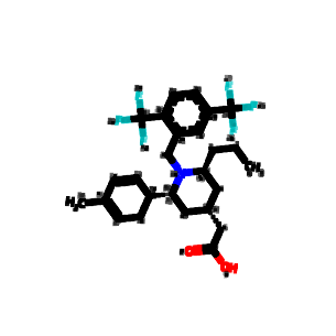 CCC[C@H]1C[C@H](CC(=O)O)C[C@H](C2C=CC(C)=CC2)N1Cc1cc(C(F)(F)F)ccc1C(F)(F)F